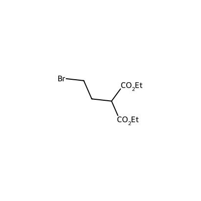 CCOC(=O)C(CCBr)C(=O)OCC